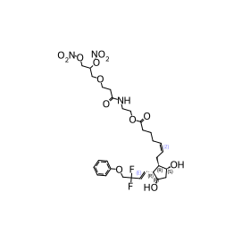 O=C(CCOCC(CO[N+](=O)[O-])O[N+](=O)[O-])NCCOC(=O)CCC/C=C\C[C@@H]1[C@@H](/C=C/C(F)(F)COc2ccccc2)[C@H](O)C[C@@H]1O